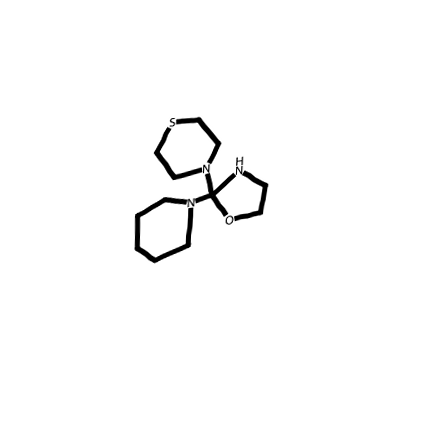 C1CCN(C2(N3CCSCC3)NCCO2)CC1